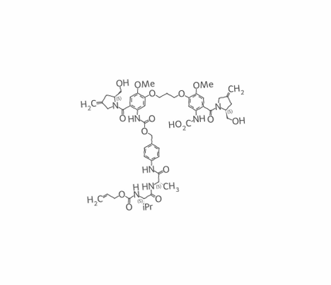 C=CCOC(=O)N[C@H](C(=O)N[C@@H](C)C(=O)Nc1ccc(COC(=O)Nc2cc(OCCCOc3cc(NC(=O)O)c(C(=O)N4CC(=C)C[C@H]4CO)cc3OC)c(OC)cc2C(=O)N2CC(=C)C[C@H]2CO)cc1)C(C)C